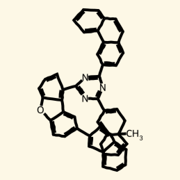 CC12C=CCCC1=CC(c1nc(-c3ccc4ccc5ccccc5c4c3)nc(-c3cccc4oc5ccc(-c6ccc7ccccc7c6)cc5c34)n1)=CC2